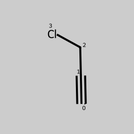 [C]#CCCl